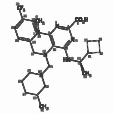 C=Nc1nc(C(=O)O)nc(N[C@H](C)C2CCC2)c1N(Cc1ccc(C(F)(F)F)cc1)CN1CCCC(C)C1